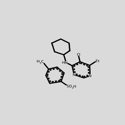 CCc1ncnc(NC2CCCCC2)c1Cl.Cc1ccc(S(=O)(=O)O)cc1